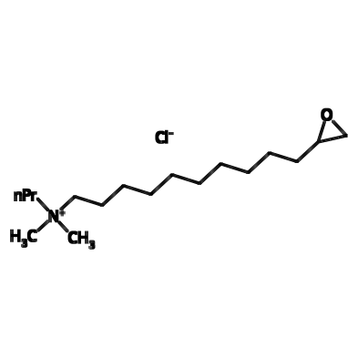 CCC[N+](C)(C)CCCCCCCCCCC1CO1.[Cl-]